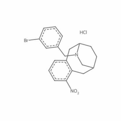 Cl.O=[N+]([O-])c1cccc2c1CC1CCC(C2)N(Cc2cccc(Br)c2)C1